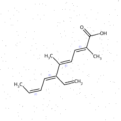 C=CC(=C\C=C/C)/C(C)=C/C=C(\C)C(=O)O